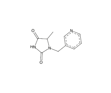 CC1C(=O)NC(=O)N1Cc1cccnc1